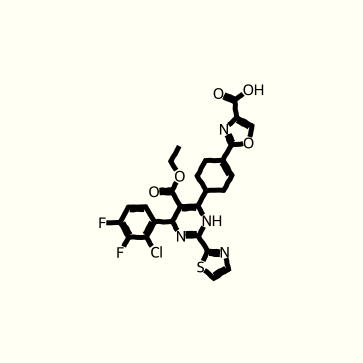 CCOC(=O)C1=C(C2CC=C(c3nc(C(=O)O)co3)CC2)NC(c2nccs2)=NC1c1ccc(F)c(F)c1Cl